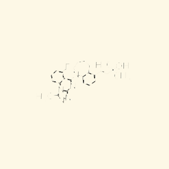 Cc1nnc2nc(N3CCCCc4c(CCC(C)(C)O)cccc43)c3c(F)cccc3n12